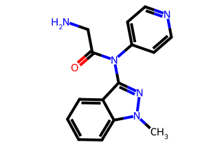 Cn1nc(N(C(=O)CN)c2ccncc2)c2ccccc21